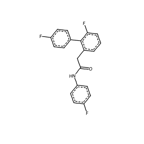 O=C(Cc1cccc(F)c1-c1ccc(F)cc1)Nc1ccc(F)cc1